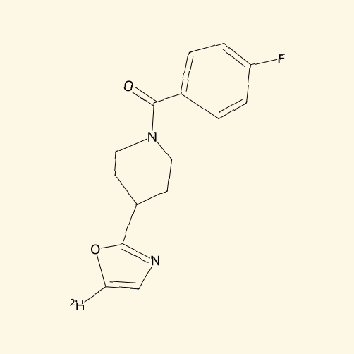 [2H]c1cnc(C2CCN(C(=O)c3ccc(F)cc3)CC2)o1